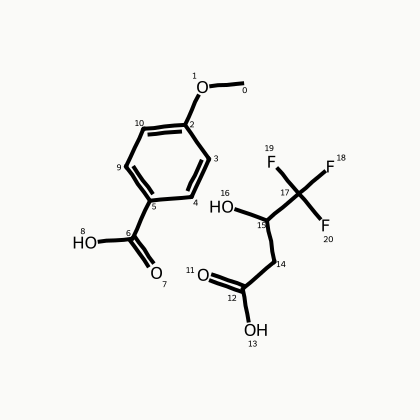 COc1ccc(C(=O)O)cc1.O=C(O)CC(O)C(F)(F)F